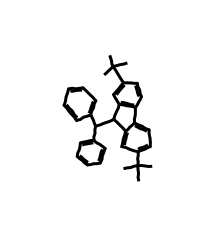 CC(C)(C)c1ccc2c(c1)C(C(c1ccccc1)c1ccccc1)c1cc(C(C)(C)C)ccc1-2